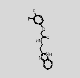 O=C(COc1ccc(F)c(F)c1)NCCc1nc2ccccc2[nH]1